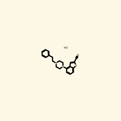 Cl.N#Cc1cc2c(N3CCN(CCc4ccccc4)CC3)cccc2s1